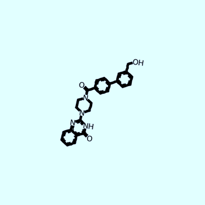 O=C(c1ccc(-c2cccc(CO)c2)cc1)N1CCN(c2nc3ccccc3c(=O)[nH]2)CC1